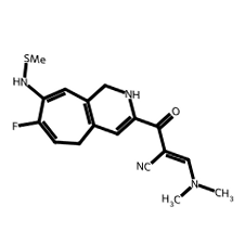 CSNC1=CC2=C(C=C(C(=O)/C(C#N)=C/N(C)C)NC2)CC=C1F